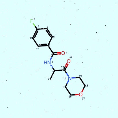 C[C](NC(=O)c1ccc(F)cc1)C(=O)N1CCOCC1